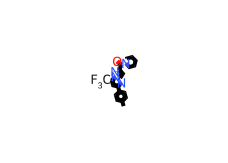 Cc1ccc(-c2cc(C(F)(F)F)n3nc(C(=O)N4CCCCC4)cc3n2)cc1